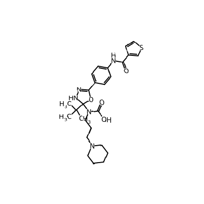 CC(C)(C)C1(N(CCCN2CCCCC2)C(=O)O)NN=C(c2ccc(NC(=O)c3ccsc3)cc2)O1